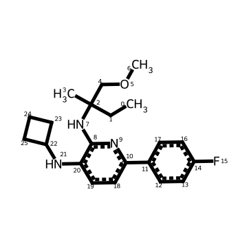 CCC(C)(COC)Nc1nc(-c2ccc(F)cc2)ccc1NC1CCC1